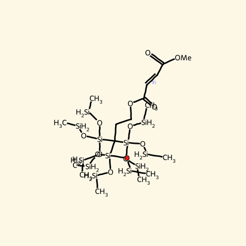 COC(=O)/C=C/C(=O)OCCC([Si](O[SiH2]C)(O[SiH2]C)O[SiH2]C)([Si](O[SiH2]C)(O[SiH2]C)O[SiH2]C)[Si](O[SiH2]C)(O[SiH2]C)O[SiH2]C